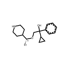 CC[C@@H](OCC(O)(c1ccccc1)C1CC1)C1CCNCC1